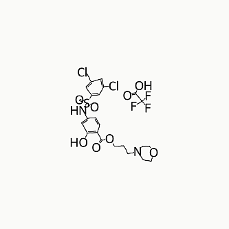 O=C(O)C(F)(F)F.O=C(OCCCN1CCOCC1)c1ccc(NS(=O)(=O)c2cc(Cl)cc(Cl)c2)cc1O